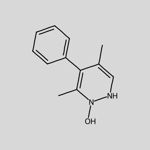 CC1=CNN(O)C(C)=C1c1ccccc1